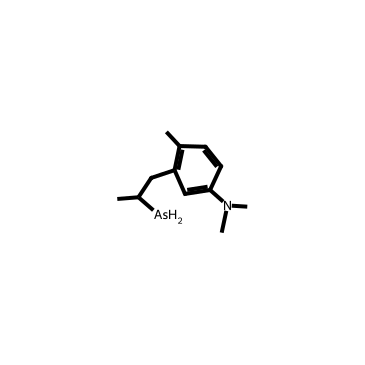 Cc1ccc(N(C)C)cc1CC(C)[AsH2]